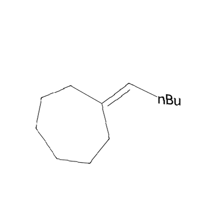 [CH2]CCCC=C1CCCCCC1